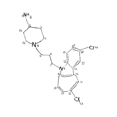 NC1CCN(CCCn2c3ccc(Cl)cc3c3cc(Cl)ccc32)CC1